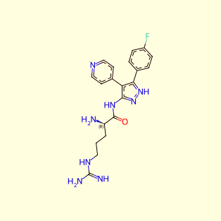 N=C(N)NCCC[C@@H](N)C(=O)Nc1n[nH]c(-c2ccc(F)cc2)c1-c1ccncc1